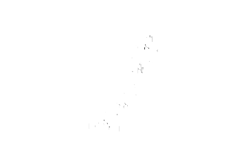 CN(C)CCOC(=O)CCC1CCN(C2CCN(C)CC2)CC1